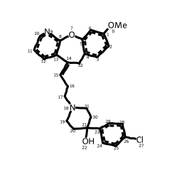 COc1ccc2c(c1)Oc1ncccc1C(=CCCN1CCC(O)(c3ccc(Cl)cc3)CC1)C2